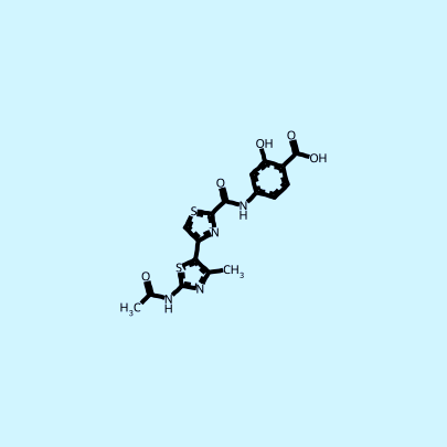 CC(=O)Nc1nc(C)c(-c2csc(C(=O)Nc3ccc(C(=O)O)c(O)c3)n2)s1